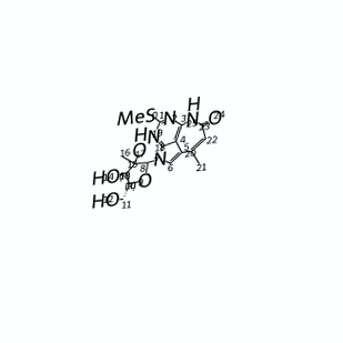 CSc1nc2c3c(cn(C4O[C@H](CO)[C@@H](O)C4(C)O)c3n1)C(C)=CC(=O)N2